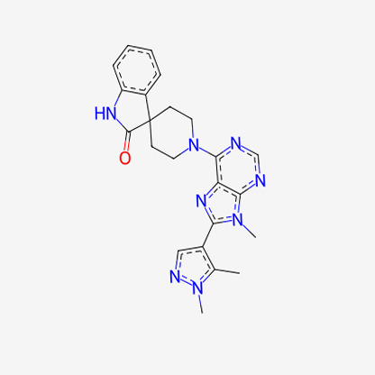 Cc1c(-c2nc3c(N4CCC5(CC4)C(=O)Nc4ccccc45)ncnc3n2C)cnn1C